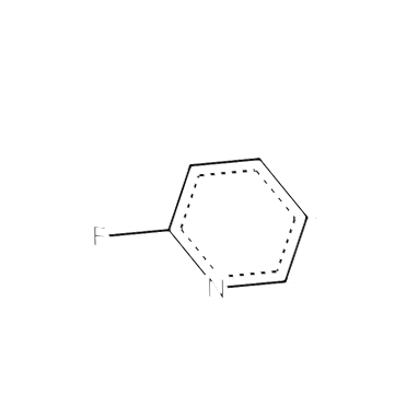 Fc1cc[c][c]n1